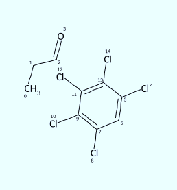 CCC=O.Clc1cc(Cl)c(Cl)c(Cl)c1Cl